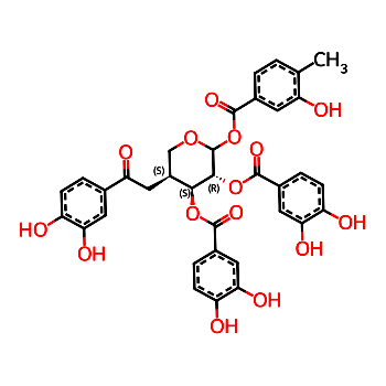 Cc1ccc(C(=O)OC2OC[C@H](CC(=O)c3ccc(O)c(O)c3)[C@H](OC(=O)c3ccc(O)c(O)c3)[C@H]2OC(=O)c2ccc(O)c(O)c2)cc1O